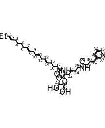 CCC=CCC=CCC=CCC=CCC=CCCCC(=O)NC(CCCCNC(=O)CC=Cc1cccnc1)C(=O)OC(CO)CO